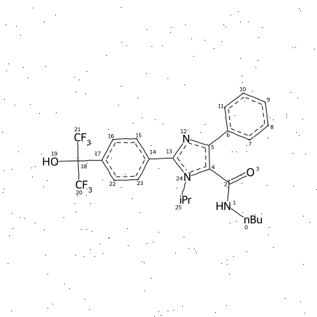 CCCCNC(=O)c1c(-c2ccccc2)nc(-c2ccc(C(O)(C(F)(F)F)C(F)(F)F)cc2)n1C(C)C